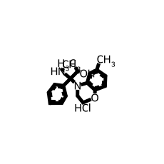 CNC(c1ccccc1)(C(C)O)N1CCOc2ccc(C)cc21.Cl